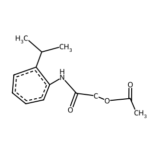 CC(=O)OCC(=O)Nc1ccccc1C(C)C